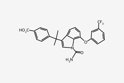 CC(C)(c1ccc(C(=O)O)cc1)c1cn(C(N)=O)c2c(Oc3cccc(C(F)(F)F)c3)cccc12